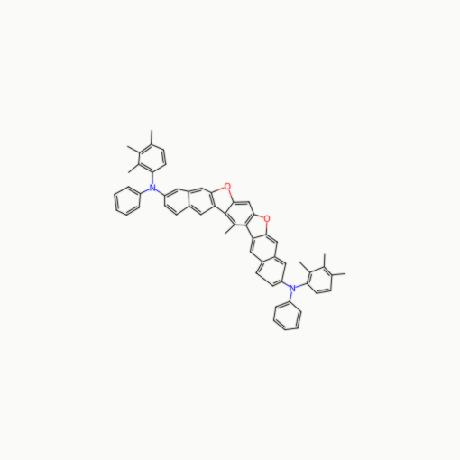 Cc1ccc(N(c2ccccc2)c2ccc3cc4c(cc3c2)oc2cc3oc5cc6cc(N(c7ccccc7)c7ccc(C)c(C)c7C)ccc6cc5c3c(C)c24)c(C)c1C